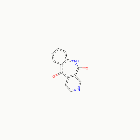 O=c1[nH]c2ccccc2c(=O)c2ccncc12